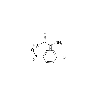 CC(=O)NN.[O]c1ccc([N+](=O)[O-])cc1